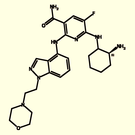 NC(=O)c1cc(F)c(NC2CCCC[C@@H]2N)nc1Nc1cccc2c1cnn2CCN1CCOCC1